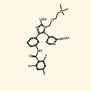 CSc1nc(-c2cccc(NC(=O)c3c(F)cc(F)cc3F)c2)c(-c2ccnc(NC(C)=O)c2)n1COCC[Si](C)(C)C